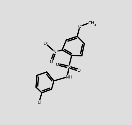 COc1ccc(S(=O)(=O)Nc2cccc(Cl)c2)c([N+](=O)[O-])c1